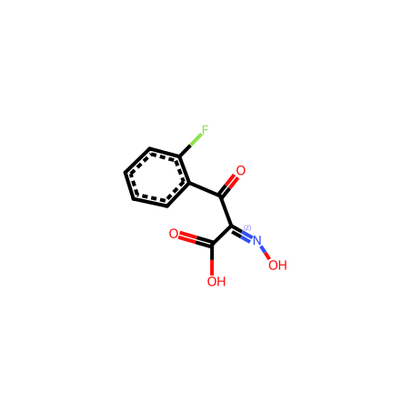 O=C(O)/C(=N\O)C(=O)c1ccccc1F